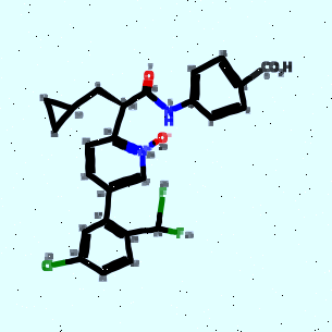 O=C(O)c1ccc(NC(=O)[C@H](CC2CC2)c2ccc(-c3cc(Cl)ccc3C(F)F)c[n+]2[O-])cc1